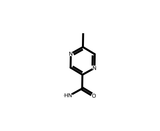 Cc1cnc(C([NH])=O)cn1